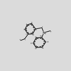 CCc1cccc(CN(C)c2ccccc2)c1